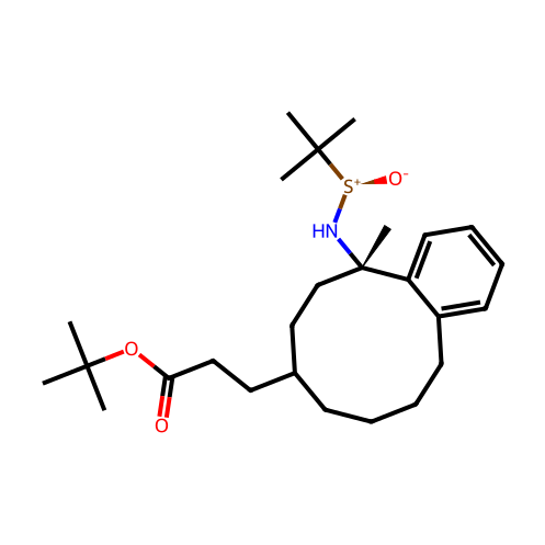 CC(C)(C)OC(=O)CCC1CCCCc2ccccc2[C@@](C)(N[S@+]([O-])C(C)(C)C)CC1